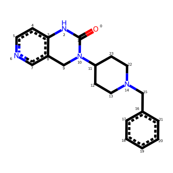 O=C1Nc2ccncc2CN1C1CCN(Cc2ccccc2)CC1